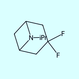 CC(C)N1C2CC1CC(F)(F)C2